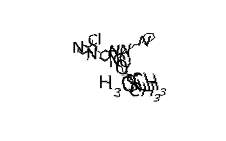 C[Si](C)(C)CCOCn1c(C(=O)NCCCN2CCCCC2)nc2cc(-c3cc(Cl)c4cnccc4n3)ccc21